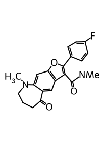 CNC(=O)c1c(-c2ccc(F)cc2)oc2cc3c(cc12)C(=O)CCCN3C